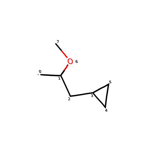 [CH2]C(CC1CC1)OC